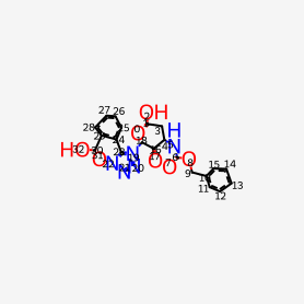 O=C(O)CC(NC(=O)OCc1ccccc1)C(=O)Cn1nnnc1-c1ccccc1C(=O)O